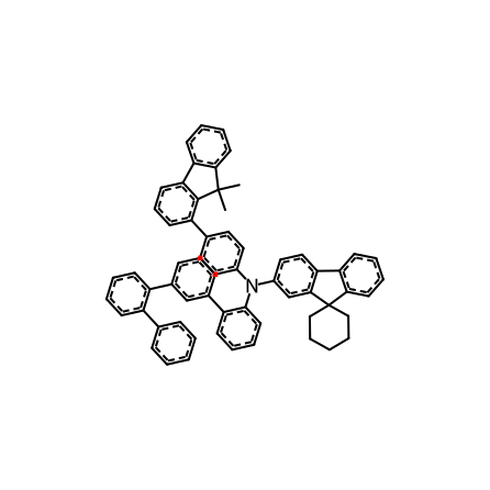 CC1(C)c2ccccc2-c2cccc(-c3ccc(N(c4ccc5c(c4)C4(CCCCC4)c4ccccc4-5)c4ccccc4-c4cccc(-c5ccccc5-c5ccccc5)c4)cc3)c21